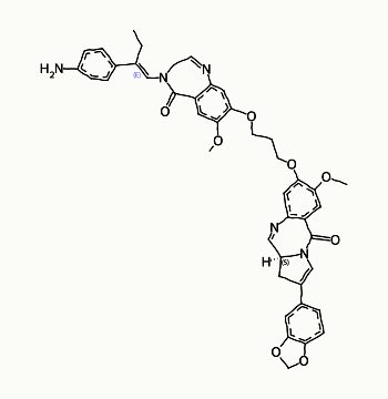 CC/C(=C\N1CC=Nc2cc(OCCCOc3cc4c(cc3OC)C(=O)N3C=C(c5ccc6c(c5)OCO6)C[C@H]3C=N4)c(OC)cc2C1=O)c1ccc(N)cc1